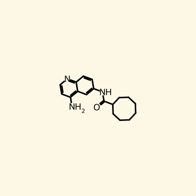 Nc1ccnc2ccc(NC(=O)C3CCCCCCC3)cc12